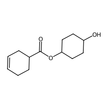 O=C(OC1CCC(O)CC1)C1CC=CCC1